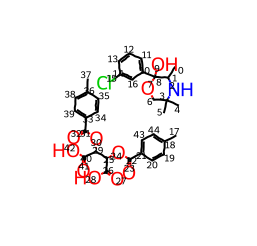 CC1NC(C)(C)COC1(O)c1cccc(Cl)c1.Cc1ccc(C(=O)O[C@@H](C(=O)O)[C@@H](OC(=O)c2ccc(C)cc2)C(=O)O)cc1